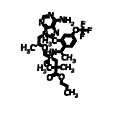 CCCOC(=O)C(C)(C)CP(=O)(CO[C@H](C)Cn1cnc2c(N)ncnc21)N[C@H](C)c1ccc(OC(F)(F)F)cc1C